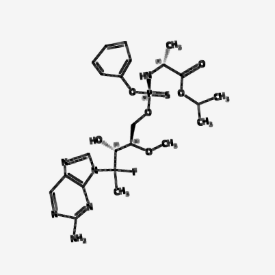 CO[C@H](CO[P@](=S)(N[C@H](C)C(=O)OC(C)C)Oc1ccccc1)[C@@H](O)C(C)(F)n1cnc2cnc(N)nc21